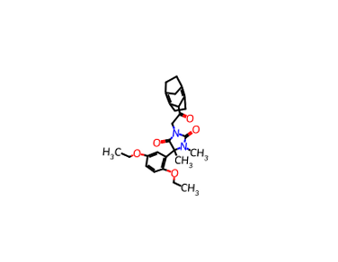 CCOc1ccc(OCC)c(C2(C)C(=O)N(CC(=O)C3C4=C5CCC(=C3CC4)C5)C(=O)N2C)c1